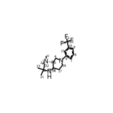 CN(C)[C@@H]1CN(c2cccc(C(F)(F)F)c2)CC[C@H]1NC(C)(C)C